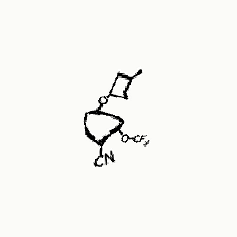 C[C@H]1C[C@@H](Oc2ccc(C#N)c(OC(F)(F)F)c2)C1